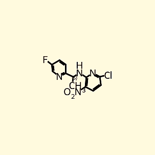 C[C@H](Nc1nc(Cl)ccc1[N+](=O)[O-])c1ccc(F)cn1